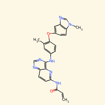 C=CC(=O)Nc1ccc2ncnc(Nc3ccc(Oc4ccc5c(c4)ncn5C)c(C)c3)c2n1